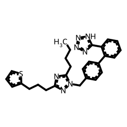 CCCCc1nc(CCCc2cccs2)nn1Cc1ccc(-c2ccccc2-c2nnn[nH]2)cc1